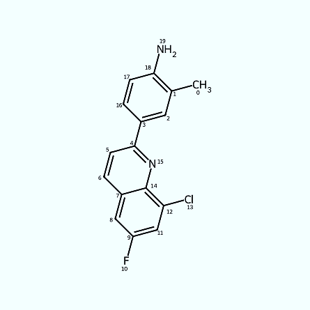 Cc1cc(-c2ccc3cc(F)cc(Cl)c3n2)ccc1N